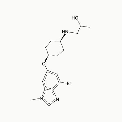 CC(O)CN[C@H]1CC[C@@H](Oc2cc(Br)c3ncn(C)c3c2)CC1